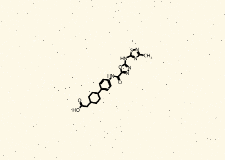 Cc1nsc(Nc2nnc(C(=O)Nc3ccc(C4CCC(CC(=O)O)CC4)cc3)o2)n1